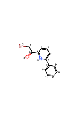 O=C(CBr)c1cccc(-c2ccccc2)n1